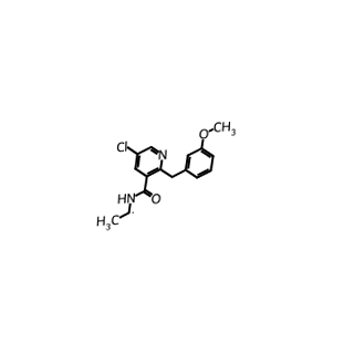 C[CH]NC(=O)c1cc(Cl)cnc1Cc1cccc(OC)c1